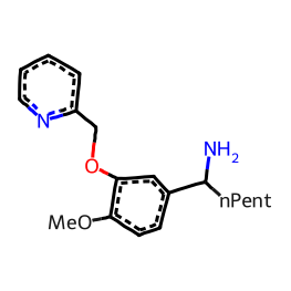 CCCCCC(N)c1ccc(OC)c(OCc2ccccn2)c1